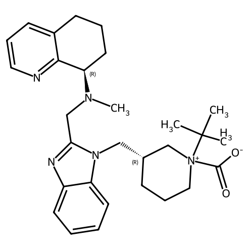 CN(Cc1nc2ccccc2n1C[C@H]1CCC[N+](C(=O)[O-])(C(C)(C)C)C1)[C@@H]1CCCc2cccnc21